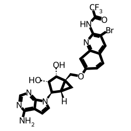 Nc1ncnc2c1ccn2[C@H]1[C@H](O)[C@H](O)[C@]2(COc3ccc4cc(Br)c(NC(=O)C(F)(F)F)nc4c3)C[C@H]12